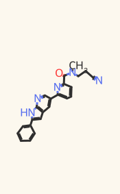 CN(CCC#N)C(=O)c1cccc(-c2cnc3[nH]c(-c4ccccc4)cc3c2)n1